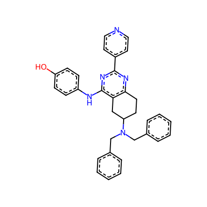 Oc1ccc(Nc2nc(-c3ccncc3)nc3c2CC(N(Cc2ccccc2)Cc2ccccc2)CC3)cc1